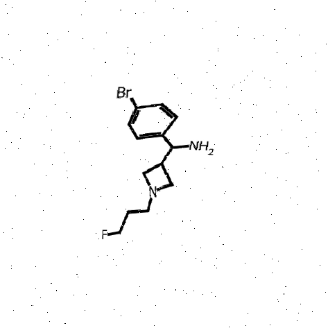 NC(c1ccc(Br)cc1)C1CN(CCCF)C1